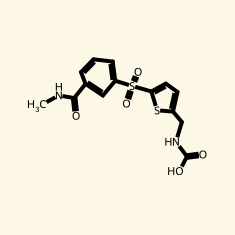 CNC(=O)c1cccc(S(=O)(=O)c2ccc(CNC(=O)O)s2)c1